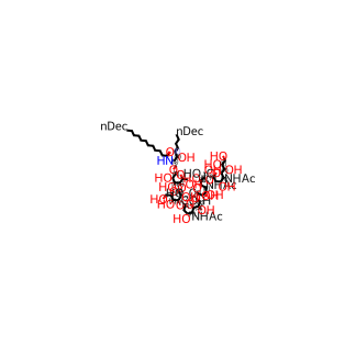 CCCCCCCCCCCCC/C=C/[C@@H](O)[C@H](CO[C@@H]1OC(CO)[C@@H](O[C@@H]2OC(CO)[C@H](O)[C@H](O[C@]3(C(=O)O)CC(O)[C@@H](NC(C)=O)C([C@H](O)[C@@H](CO)O[C@]4(C(=O)O)CC(O)[C@@H](NC(C)=O)C([C@H](O)[C@@H](CO)O[C@]5(C(=O)O)CC(O)[C@@H](NC(C)=O)C([C@H](O)[C@H](O)CO)O5)O4)O3)C2O)[C@H](O)C1O)NC(=O)CCCCCCCCCCCCCCCCCCCCC